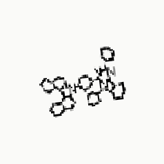 c1ccc(-c2nc(-c3ccc(-n4c5ccc6ccccc6c5c5c6ccccc6ccc54)cc3)n3c(-c4ccccc4)c4ccccc4c3n2)cc1